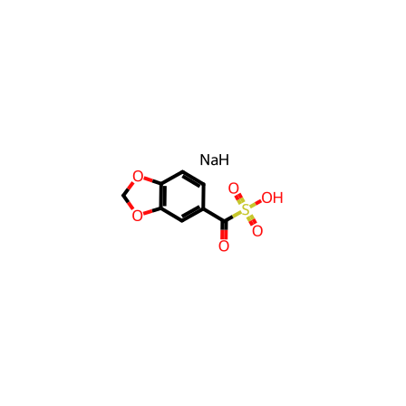 O=C(c1ccc2c(c1)OCO2)S(=O)(=O)O.[NaH]